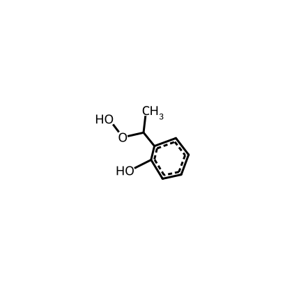 CC(OO)c1ccccc1O